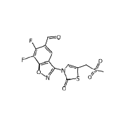 CS(=O)(=O)Cc1cn(-c2noc3c(F)c(F)c(C=O)cc23)c(=O)s1